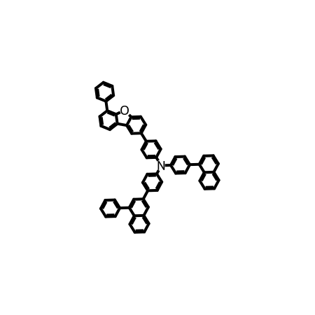 c1ccc(-c2cc(-c3ccc(N(c4ccc(-c5ccc6oc7c(-c8ccccc8)cccc7c6c5)cc4)c4ccc(-c5cccc6ccccc56)cc4)cc3)cc3ccccc23)cc1